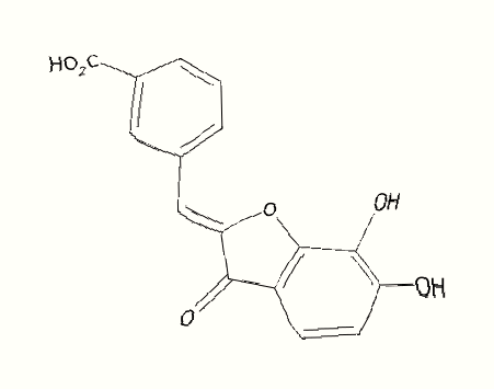 O=C(O)c1cccc(C=C2Oc3c(ccc(O)c3O)C2=O)c1